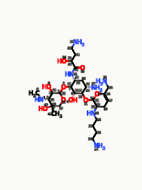 CN[C@@H]1[C@@H](O)[C@@H](O[C@@H]2[C@@H](O)[C@H](O[C@H]3OC(CN)=CC[C@H]3NCCCCN)[C@@H](N)C[C@H]2NC(=O)[C@@H](O)CCN)OC[C@]1(C)O